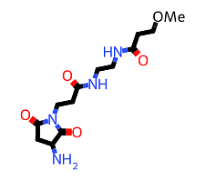 COCCC(=O)NCCNC(=O)CCN1C(=O)CC(N)C1=O